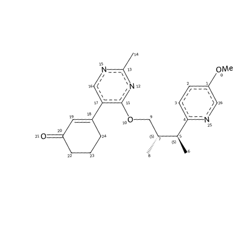 COc1ccc([C@@H](C)[C@H](C)COc2nc(C)ncc2C2=CC(=O)CCC2)nc1